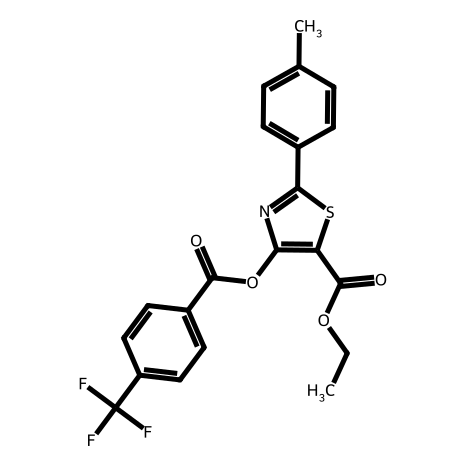 CCOC(=O)c1sc(-c2ccc(C)cc2)nc1OC(=O)c1ccc(C(F)(F)F)cc1